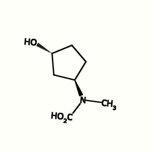 CN(C(=O)O)[C@@H]1CC[C@@H](O)C1